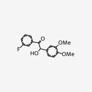 COc1ccc(C(O)C(=O)c2cccc(F)c2)cc1OC